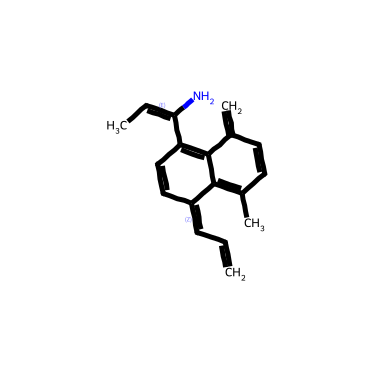 C=C/C=c1/ccc(/C(N)=C\C)c2c(=C)ccc(C)c12